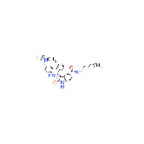 CCCCCCNC(=O)c1ccc2c(c1)/C(=C(/Nc1ccc(CN(C)C)cc1)c1ccccc1)C(=O)N2